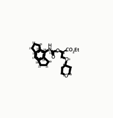 CCOC(=O)[C@@H](COC1CCOCC1)OC(=O)Nc1c2c(cc3c1CCC3)CCC2